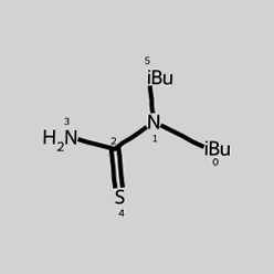 CCC(C)N(C(N)=S)C(C)CC